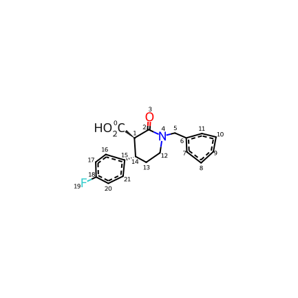 O=C(O)[C@H]1C(=O)N(Cc2ccccc2)CC[C@@H]1c1ccc(F)cc1